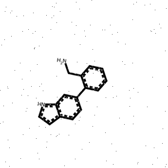 NCc1ccccc1-c1ccc2cc[nH]c2c1